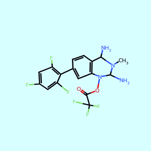 CN1C(N)c2ccc(-c3c(F)cc(F)cc3F)cc2N(OC(=O)C(F)(F)F)C1N